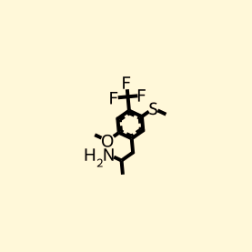 COc1cc(C(F)(F)F)c(SC)cc1CC(C)N